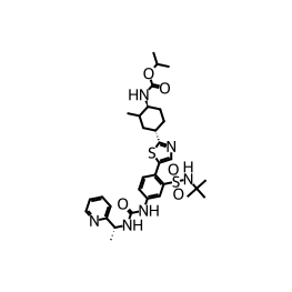 CC(C)OC(=O)N[C@H]1CC[C@H](c2ncc(-c3ccc(NC(=O)N[C@H](C)c4ccccn4)cc3S(=O)(=O)NC(C)(C)C)s2)CC1C